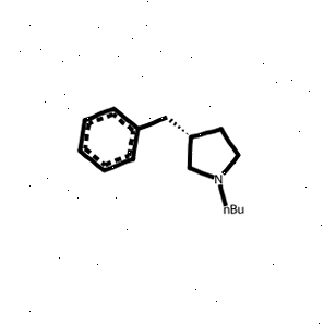 CCCCN1CC[C@@H](Cc2ccccc2)C1